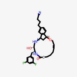 N#CCCCc1ccc2c(c1)[C@@H]1C[C@H]2OCC=CCCCCC(=O)N[C@@H](Cc2cc(F)cc(F)c2)[C@H](O)CN1